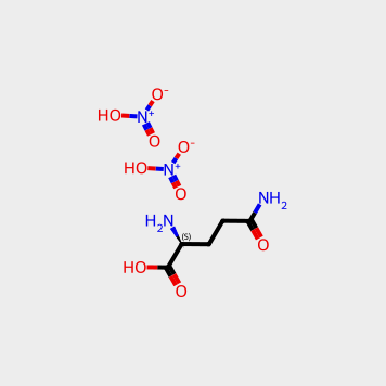 NC(=O)CC[C@H](N)C(=O)O.O=[N+]([O-])O.O=[N+]([O-])O